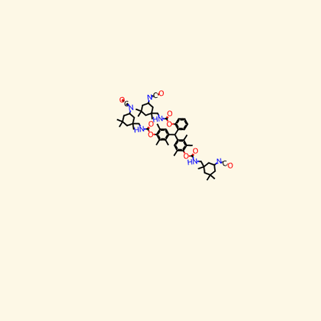 Cc1cc(C(c2ccccc2OC(=O)NCC2(C)CC(N=C=O)CC(C)(C)C2)c2cc(C)c(OC(=O)NCC3(C)CC(N=C=O)CC(C)(C)C3)c(C)c2C)c(C)c(C)c1OC(=O)NCC1(C)CC(N=C=O)CC(C)(C)C1